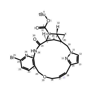 CC(C)(C)OC(=O)N1[C@H]2C[C@]3(C[C@@H]13)Cn1ccc(n1)/C=C\COCc1ccc(Br)nc1NC2=O